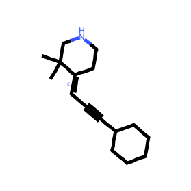 CC1(C)CNCC/C1=C\C#CC1CCCCC1